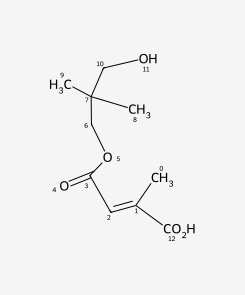 CC(=CC(=O)OCC(C)(C)CO)C(=O)O